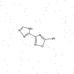 CC(C)c1nc(-c2nnc[nH]2)no1